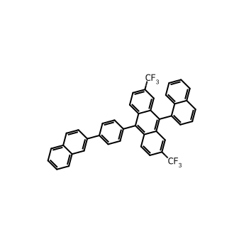 FC(F)(F)c1ccc2c(-c3ccc(-c4ccc5ccccc5c4)cc3)c3ccc(C(F)(F)F)cc3c(-c3cccc4ccccc34)c2c1